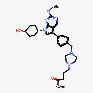 CCCCNc1ncc2c(-c3ccc(CN4CCN(CCCC(=O)OC)CC4)cc3)cn([C@H]3CC[C@H](O)CC3)c2n1